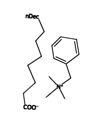 CCCCCCCCCCCCCCCCC(=O)[O-].C[N+](C)(C)Cc1ccccc1